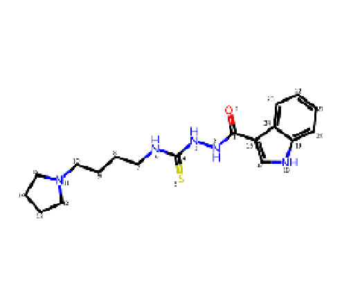 O=C(NNC(=S)NCCCCN1CCCC1)c1c[nH]c2ccccc12